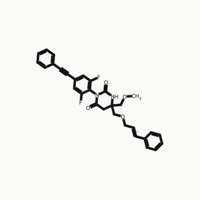 COCC1(COC/C=C/c2ccccc2)CC(=O)N(c2c(F)cc(C#Cc3ccccc3)cc2F)C(=O)N1